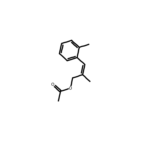 CC(=O)OCC(C)=Cc1ccccc1C